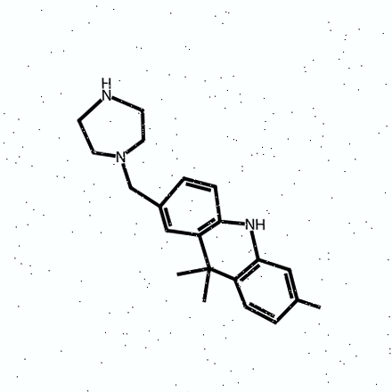 Cc1ccc2c(c1)Nc1ccc(CN3CCNCC3)cc1C2(C)C